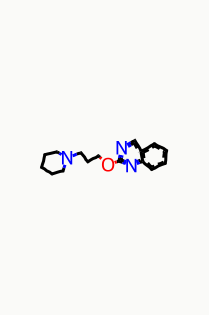 c1ccc2nc(OCCCN3CCCCC3)ncc2c1